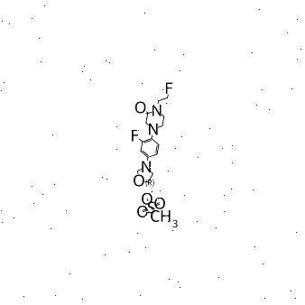 CS(=O)(=O)OC[C@H]1CN(c2ccc(N3CCN(CCF)C(=O)C3)c(F)c2)CO1